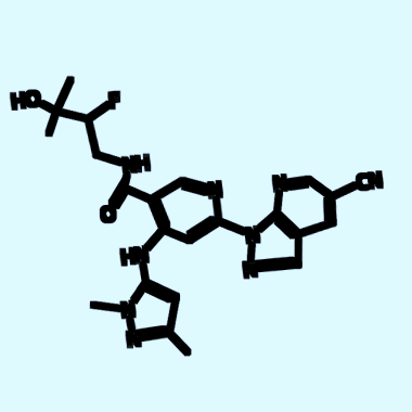 Cc1cc(Nc2cc(-n3ncc4cc(C#N)cnc43)ncc2C(=O)NCC(F)C(C)(C)O)n(C)n1